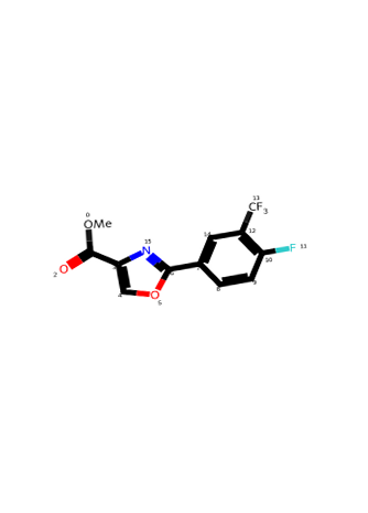 COC(=O)c1coc(-c2ccc(F)c(C(F)(F)F)c2)n1